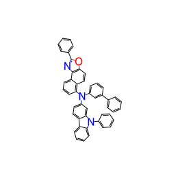 c1ccc(-c2cccc(N(c3ccc4c5ccccc5n(-c5ccccc5)c4c3)c3cccc4c3ccc3oc(-c5ccccc5)nc34)c2)cc1